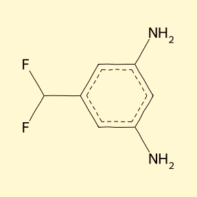 Nc1cc(N)cc(C(F)F)c1